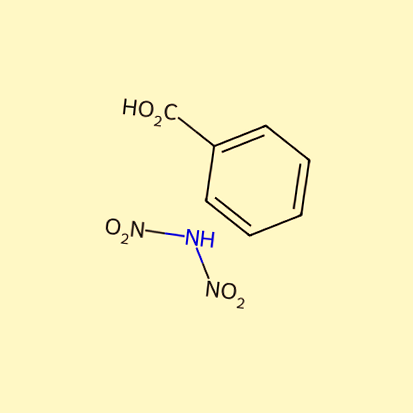 O=C(O)c1ccccc1.O=[N+]([O-])N[N+](=O)[O-]